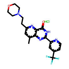 Cc1cc(CCN2CCOCC2)nc2c(=O)[nH]c(-c3cc(C(F)(F)F)ccn3)nc12.Cl